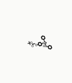 CC(C)(C)OC(=O)COc1ccc(N2C(Nc3ccccc3)CC2c2ccccc2)cc1